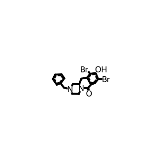 O=C1c2cc(Br)c(O)c(Br)c2CC2CN(Cc3ccccc3)CCN12